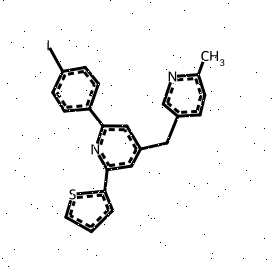 Cc1ccc(Cc2cc(-c3ccc(I)cc3)nc(-c3cccs3)c2)cn1